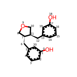 Oc1cccc(C[C@@H]2COC[C@H]2Cc2cccc(O)c2)c1